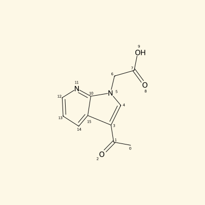 CC(=O)c1cn(CC(=O)O)c2ncccc12